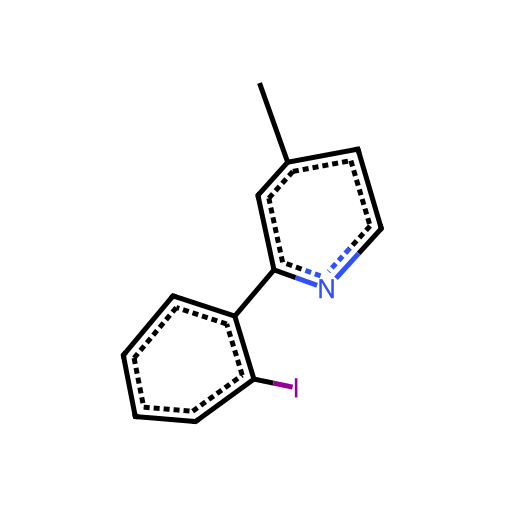 Cc1ccnc(-c2ccccc2I)c1